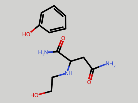 NC(=O)CC(NCCO)C(N)=O.Oc1ccccc1